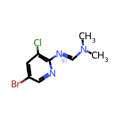 CN(C)/C=N/c1ncc(Br)cc1Cl